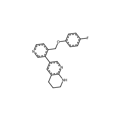 Fc1ccc(OCc2ccncc2-c2cnc3c(c2)CCCN3)cc1